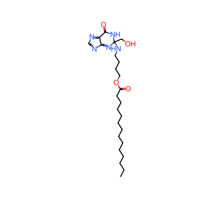 CCCCCCCCCCCCCC(=O)OCCCCNC1(CO)N=C2N=CN=C2C(=O)N1